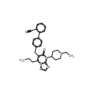 CCCc1c(Cc2ccc(-c3ccccc3C#N)cc2)c(=O)n(C2CCN(CC)CC2)c2ncnn12